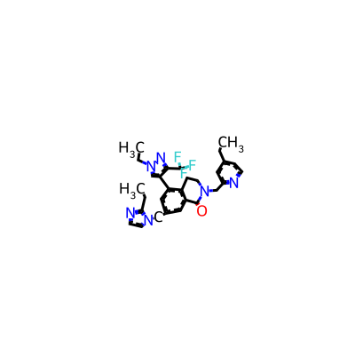 CCc1ccnc(CN2CCc3c(cc(Cn4ccnc4CC)cc3-c3cn(CC)nc3C(F)(F)F)C2=O)c1